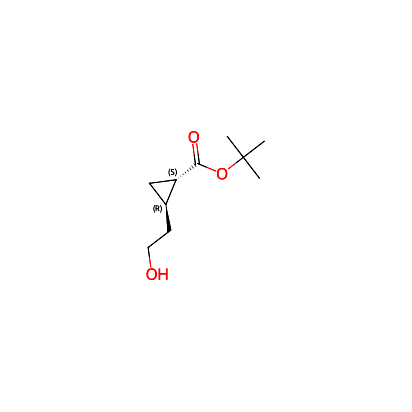 CC(C)(C)OC(=O)[C@H]1C[C@@H]1CCO